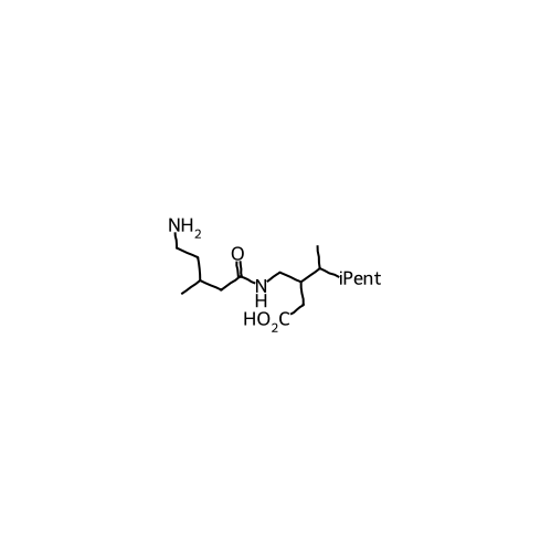 CCCC(C)C(C)C(CNC(=O)CC(C)CCN)CC(=O)O